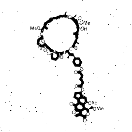 COC[C@H]1OC(=O)c2coc3c2[C@@]1(C)C1=C(C3=O)C2CC[C@H](OC(=O)CCCC(=O)O[C@H]3CC[C@H](C[C@@H](C)[C@@H]4CC(=O)[C@H](C)/C=C(\C)[C@@H](O)[C@@H](OC)C(=O)[C@H](C)C[C@H](C)/C=C/C=C/C=C(\C)[C@@H](OC)C[C@@H]5CC[C@@H](C)[C@@](O)(O5)C(=O)C(=O)N5CCCC[C@H]5C(=O)O4)CC3)[C@@]2(C)C[C@H]1OC(C)=O